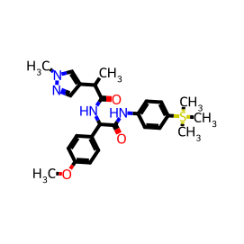 COc1ccc(C(NC(=O)C(C)c2cnn(C)c2)C(=O)Nc2ccc(S(C)(C)C)cc2)cc1